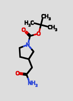 CC(C)(C)OC(=O)N1CCC(CC(N)=O)C1